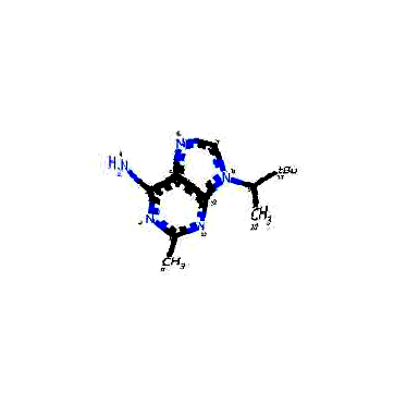 Cc1nc(N)c2ncn(C(C)C(C)(C)C)c2n1